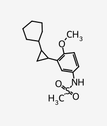 COc1ccc(NS(C)(=O)=O)cc1C1CC1C1CCCCC1